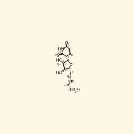 CCOC(=O)[C@H](C)NOC[C@H]1O[C@@H](n2ccc(=O)[nH]c2=S)[C@](C)(O)C1O